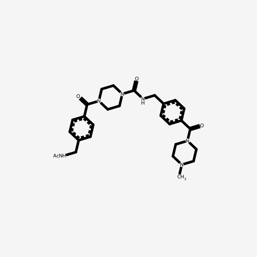 CC(=O)NCc1ccc(C(=O)N2CCN(C(=O)NCc3ccc(C(=O)N4CCN(C)CC4)cc3)CC2)cc1